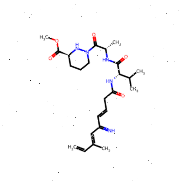 C=C/C(C)=C/C(=N)/C=C/CC(=O)N[C@H](C(=O)N[C@@H](C)C(=O)N1CCC[C@@H](C(=O)OC)N1)C(C)C